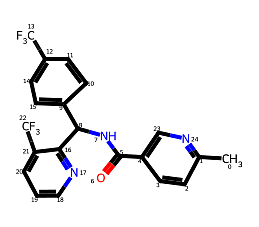 Cc1ccc(C(=O)NC(c2ccc(C(F)(F)F)cc2)c2ncccc2C(F)(F)F)cn1